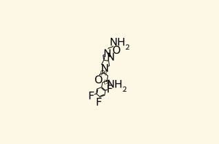 NC(=O)Cn1cc2c(n1)CN([C@H]1COC(c3cc(F)c(F)cc3F)[C@@H](N)C1)C2